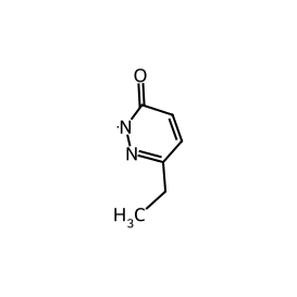 CCC1=N[N]C(=O)C=C1